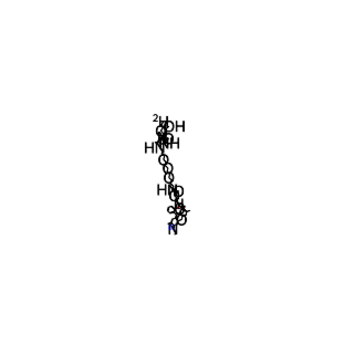 [2H]CC1OC(N2C=C(C)C(NCCCOCCOCCOCCCNC(=O)OCCN(C)C(=O)c3ccccc3-c3c4cc(C)/c(=N/CC)cc-4oc4cc(C)c(C)cc34)NC2=O)CC1O